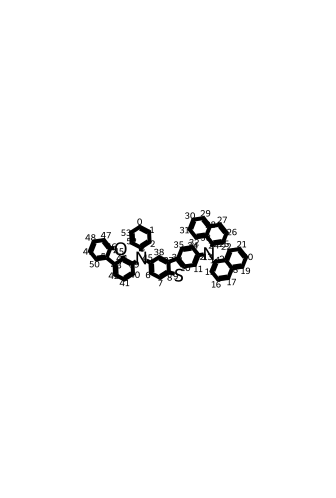 c1ccc(N(c2ccc3sc4cc(N(c5cccc6ccccc56)c5cccc6ccccc56)ccc4c3c2)c2cccc3c2oc2ccccc23)cc1